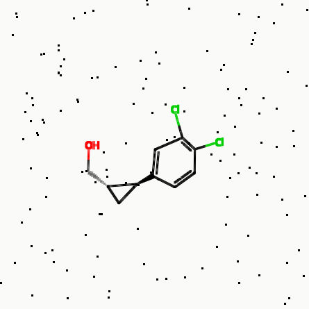 OC[C@H]1C[C@@H]1c1ccc(Cl)c(Cl)c1